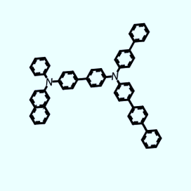 c1ccc(-c2ccc(-c3ccc(N(c4ccc(-c5ccccc5)cc4)c4ccc(-c5ccc(N(c6ccccc6)c6ccc7ccccc7c6)cc5)cc4)cc3)cc2)cc1